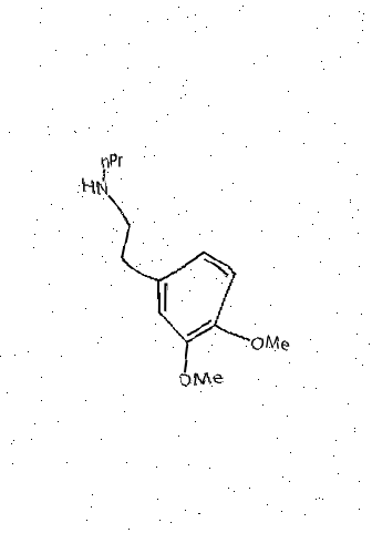 CCCNCCc1ccc(OC)c(OC)c1